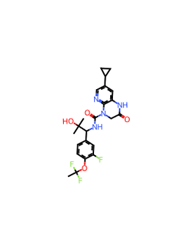 CC(F)(F)Oc1ccc(C(NC(=O)N2CC(=O)Nc3cc(C4CC4)cnc32)C(C)(C)O)cc1F